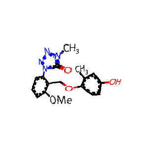 COc1cccc(-n2nnn(C)c2=O)c1COc1ccc(O)cc1C